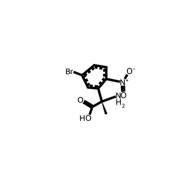 C[C@@](N)(C(=O)O)c1cc(Br)ccc1[N+](=O)[O-]